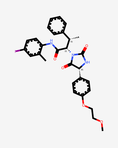 COCCOc1ccc([C@H]2NC(=O)N([C@H](C(=O)Nc3ccc(I)cc3C)[C@@H](C)c3ccccc3)C2=O)cc1